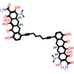 CN(C)[C@H]1C(O)=C(C(N)=O)C(=O)[C@]2(O)C(O)=C3C(=O)c4c(O)ccc(C#CCCCCC#Cc5ccc(O)c6c5C[C@@H]5C[C@@H]7[C@@H](N(C)C)C(O)=C(C(N)=O)C(=O)[C@]7(O)C(O)=C5C6=O)c4C[C@@H]3C[C@H]12